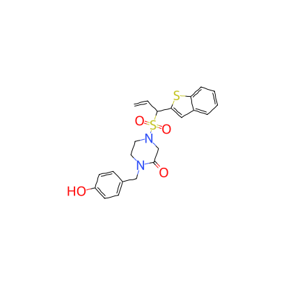 C=CC(c1cc2ccccc2s1)S(=O)(=O)N1CCN(Cc2ccc(O)cc2)C(=O)C1